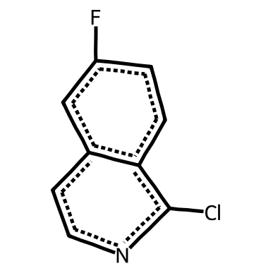 Fc1ccc2c(Cl)nccc2c1